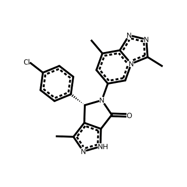 Cc1n[nH]c2c1[C@H](c1ccc(Cl)cc1)N(c1cc(C)c3nnc(C)n3c1)C2=O